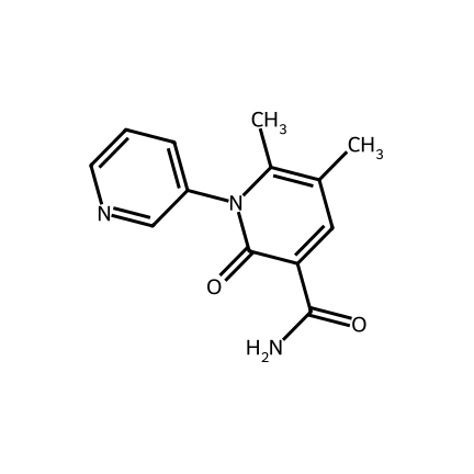 Cc1cc(C(N)=O)c(=O)n(-c2cccnc2)c1C